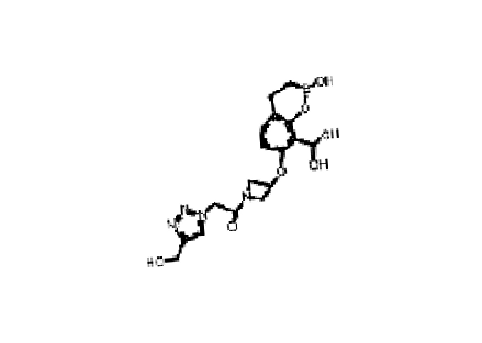 O=C(Cn1cc(CO)nn1)N1CC(Oc2ccc3c(c2C(O)O)OB(O)CC3)C1